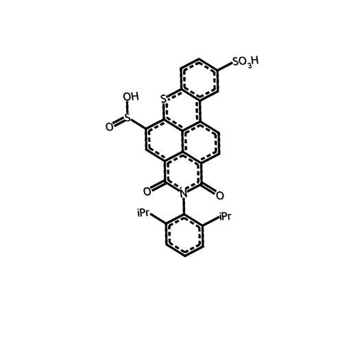 CC(C)c1cccc(C(C)C)c1-n1c(=O)c2ccc3c4cc(S(=O)(=O)O)ccc4sc4c(S(=O)O)cc(c1=O)c2c43